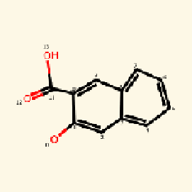 [O]c1cc2ccccc2cc1C(=O)O